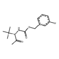 CC(=O)C(NC(=O)OCc1cccc(F)c1)C(C)(C)C